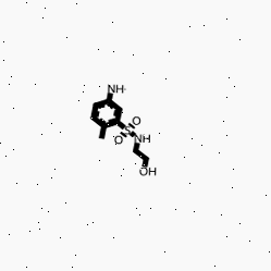 Cc1ccc([NH])cc1S(=O)(=O)NCCO